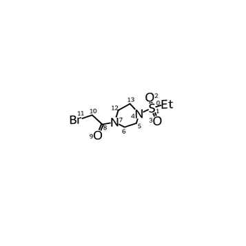 CCS(=O)(=O)N1CCN(C(=O)CBr)CC1